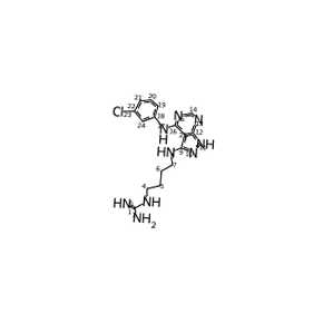 N=C(N)NCCCCNc1n[nH]c2ncnc(Nc3cccc(Cl)c3)c12